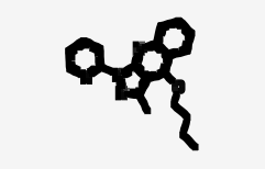 CCCCOc1c2ccccc2nc2c1c(C)nn2-c1ccccn1